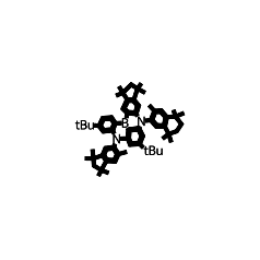 Cc1cc2c(cc1N1c3cc4c(cc3B3c5ccc(C(C)(C)C)cc5N(c5cc6c(cc5C)C(C)(C)CC6(C)C)c5cc(C(C)(C)C)cc1c53)C(C)(C)CC4(C)C)C(C)(C)CCC2(C)C